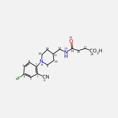 N#Cc1cc(F)ccc1N1CCC(CNC(=O)CCC(=O)O)CC1